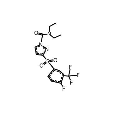 CCN(CC)C(=O)n1ccc(S(=O)(=O)c2ccc(F)c(C(F)(F)F)c2)n1